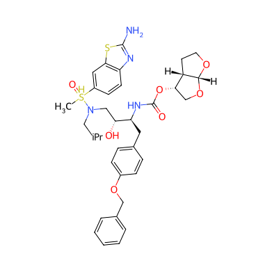 CC(C)CN(C[C@@H](O)[C@H](Cc1ccc(OCc2ccccc2)cc1)NC(=O)O[C@H]1CO[C@H]2OCC[C@H]21)[SH](C)(=O)c1ccc2nc(N)sc2c1